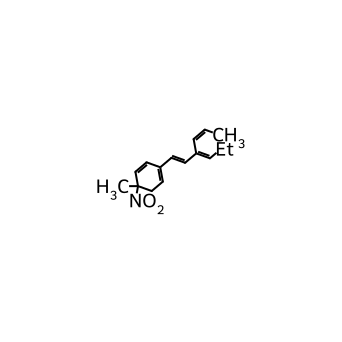 C/C=C\C(C=CC1=CCC(C)([N+](=O)[O-])C=C1)=CCC